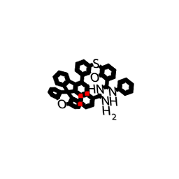 NC(NC(Nc1ccccc1)c1cccc2c1Oc1c(cccc1-c1cccc3c1-c1ccccc1C31c3ccccc3Oc3ccccc31)S2)c1ccccc1